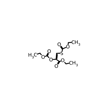 CCOC(=O)OC(=CSC(=O)OCC)C(=O)OCC